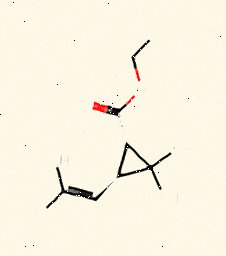 CCOC(=O)[C@H]1[C@H](C=C(C)C)C1(C)C